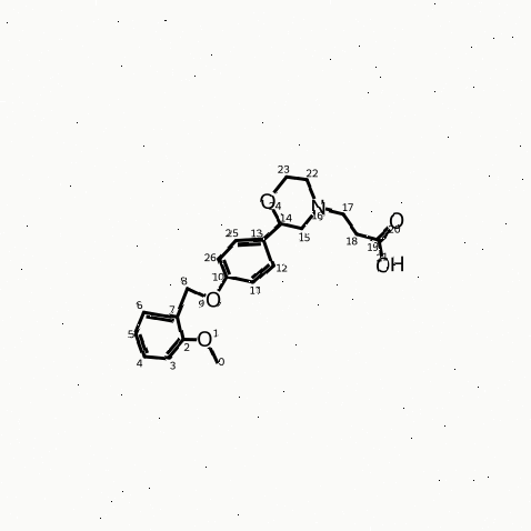 COc1ccccc1COc1ccc(C2CN(CCC(=O)O)CCO2)cc1